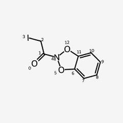 O=C(CI)N1Oc2ccccc2O1